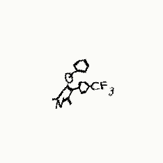 Cc1cc(OCc2ccccc2)c(-c2ccc(C(F)(F)F)cc2)c(C)n1